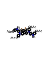 CCn1c2ccc(SC)cc2c2cc(N(c3ccc(OC)cc3)c3ccc4c(c3)C3(c5cc(N(c6ccc(OC)cc6)c6ccc7c(c6)c6cc(SC)ccc6n7CC)ccc5-4)c4ccsc4-c4sccc43)ccc21